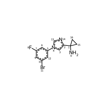 NC1(c2cn(-c3cc(F)cc(Br)c3)cn2)CC1